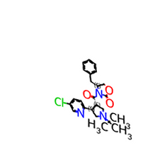 CC(C)(C)N1C[C@@H](C(=O)N2C(=O)OC[C@@H]2Cc2ccccc2)[C@H](c2ccc(Cl)cn2)C1